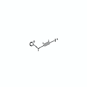 ClCC#CI